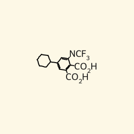 O=C(O)c1cc(C2CCCCC2)cc(NC(F)(F)F)c1C(=O)O